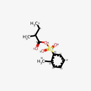 CCC(C)C(=O)OS(=O)(=O)c1ccccc1C